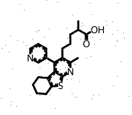 Cc1nc2sc3c(c2c(-c2cccnc2)c1CCCC(C)C(=O)O)CCCC3